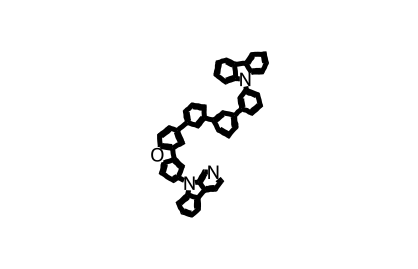 c1cc(-c2cccc(-c3ccc4oc5ccc(-n6c7ccccc7c7ccncc76)cc5c4c3)c2)cc(-c2cccc(-n3c4ccccc4c4ccccc43)c2)c1